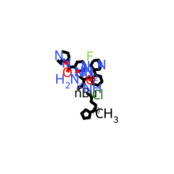 CCCC/C=C(\NCC(Cl)CC[C@H](C)C1CCCC1)C(C(=O)NC1(C2CCCCC2)CN=CC(F)C1N1CCC(C(=O)N2CCN3CCC2CC3)CC1)C(N)N